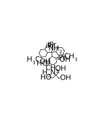 CC(C)C1CCC(C)(O)CC1C(N)(C1CC(C)(O)CCC1C(C)C)C1CC(C)(O)CCC1C(C)C.NC(CO)(CO)CO